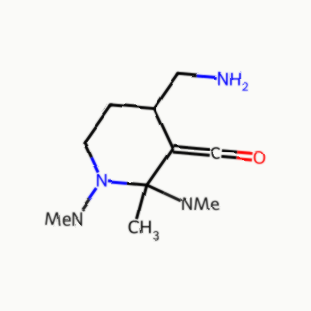 CNN1CCC(CN)C(=C=O)C1(C)NC